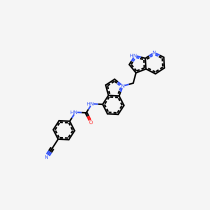 N#Cc1ccc(NC(=O)Nc2cccc3c2ccn3Cc2c[nH]c3ncccc23)cc1